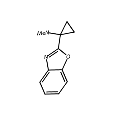 CNC1(c2nc3ccccc3o2)CC1